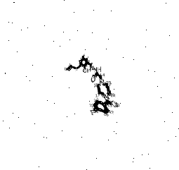 C=CCc1cc(C)cc(/C=N/NC(=O)CN2CCN(C(=O)c3ccc(F)cc3)CC2)c1O